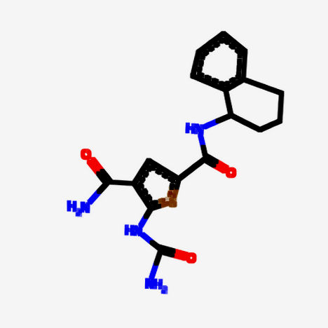 NC(=O)Nc1sc(C(=O)NC2CCCc3ccccc32)cc1C(N)=O